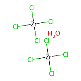 O.[Cl][Zr]([Cl])([Cl])[Cl].[Cl][Zr]([Cl])([Cl])[Cl]